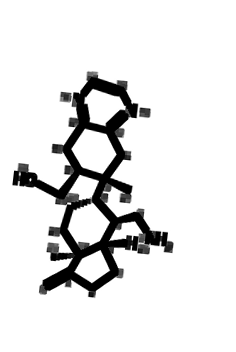 C=C1CC[C@H]2[C@H](CN)[C@@H]([C@@]3(C)Cc4nccnc4C[C@@H]3CO)CC[C@]12C